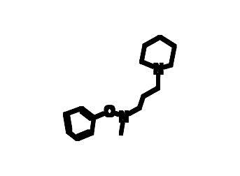 CN(CCCN1CCCCC1)Oc1ccccc1